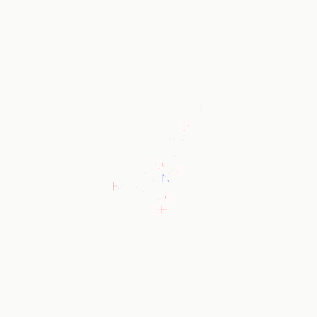 C#CCOc1ccc(S(=O)(=O)N(C)c2c(C)cc(Br)cc2C(=O)O)cc1